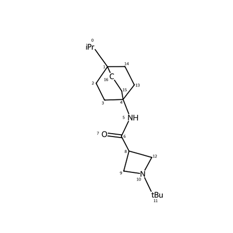 CC(C)C12CCC(NC(=O)C3CN(C(C)(C)C)C3)(CC1)CC2